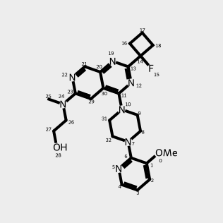 COc1cccnc1N1CCN(c2nc(C3(F)CCC3)nc3cnc(N(C)CCO)cc23)CC1